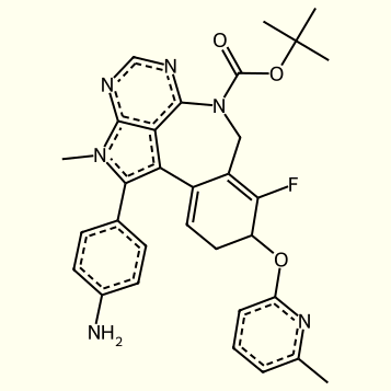 Cc1cccc(OC2CC=C3C(=C2F)CN(C(=O)OC(C)(C)C)c2ncnc4c2c3c(-c2ccc(N)cc2)n4C)n1